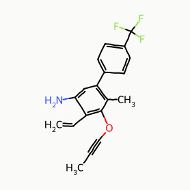 C=Cc1c(N)cc(-c2ccc(C(F)(F)F)cc2)c(C)c1OC#CC